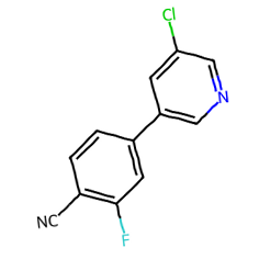 N#Cc1ccc(-c2cncc(Cl)c2)cc1F